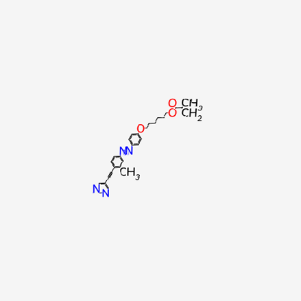 C=C(C)C(=O)OCCCCCCOc1ccc(/N=N/c2ccc(C#Cc3cncnc3)c(C)c2)cc1